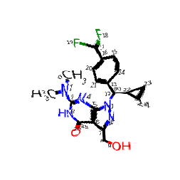 CN(C)c1nc2c(c(CO)nn2[C@@H](c2ccc(C(F)F)cc2)C2CC2)c(=O)[nH]1